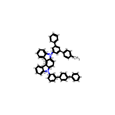 Cc1ccc(-c2cc(-c3ccccc3)cc(-n3c4ccccc4c4c5c6ccccc6n(-c6cccc(-c7ccc(-c8ccccc8)cc7)c6)c5ccc43)c2)cc1